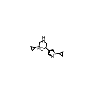 c1nn(C2CC2)cc1C1CNC[C@H](C2CC2)O1